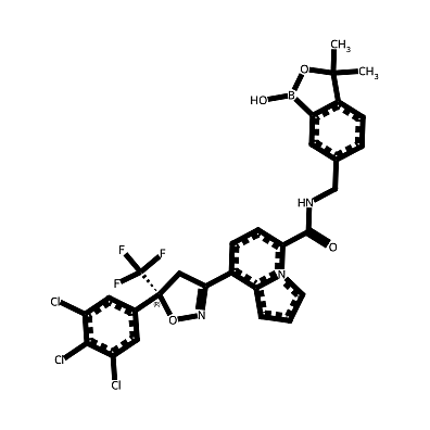 CC1(C)OB(O)c2cc(CNC(=O)c3ccc(C4=NO[C@](c5cc(Cl)c(Cl)c(Cl)c5)(C(F)(F)F)C4)c4cccn34)ccc21